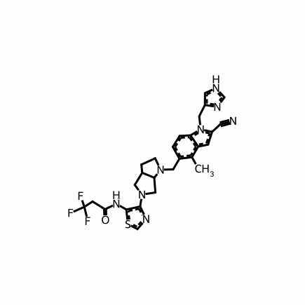 Cc1c(CN2CCC3CN(c4ncsc4NC(=O)CC(F)(F)F)CC32)ccc2c1cc(C#N)n2Cc1c[nH]cn1